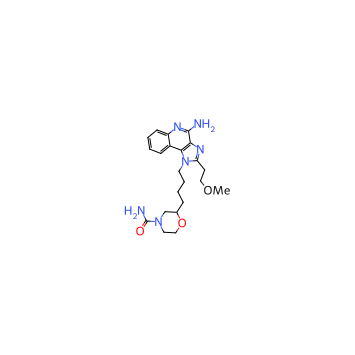 COCCc1nc2c(N)nc3ccccc3c2n1CCCCC1CN(C(N)=O)CCO1